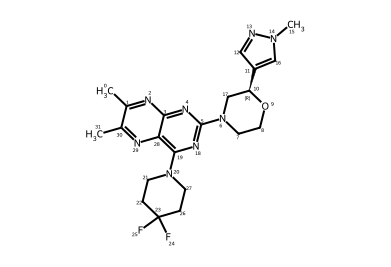 Cc1nc2nc(N3CCO[C@H](c4cnn(C)c4)C3)nc(N3CCC(F)(F)CC3)c2nc1C